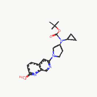 CC(C)(C)OC(=O)N(C1CC1)[C@H]1CCN(c2cc3ccc(O)nc3cn2)C1